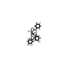 C[C@H](OCc1ccccc1)[C@@H](COc1ccccc1)Oc1ccccc1